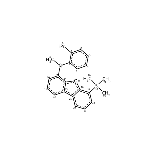 CC(C)c1ccccc1N(C)c1cccc2c1oc1c([Si](C)(C)C)cccc12